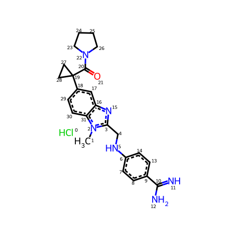 Cl.Cn1c(CNc2ccc(C(=N)N)cc2)nc2cc(C3(C(=O)N4CCCC4)CC3)ccc21